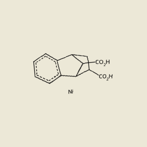 O=C(O)C1CC2c3ccccc3C1C2C(=O)O.[Ni]